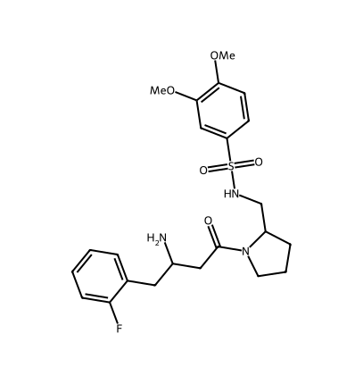 COc1ccc(S(=O)(=O)NCC2CCCN2C(=O)CC(N)Cc2ccccc2F)cc1OC